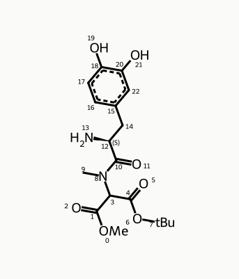 COC(=O)C(C(=O)OC(C)(C)C)N(C)C(=O)[C@@H](N)Cc1ccc(O)c(O)c1